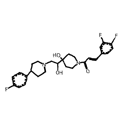 O=C(C=Cc1ccc(F)c(F)c1)N1CCC(O)(C(O)CN2CCC(c3ccc(F)cc3)CC2)CC1